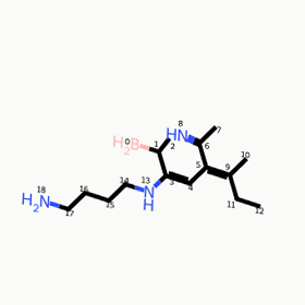 BC(C)/C(=C\C(C(C)=N)=C(\C)CC)NCCCCN